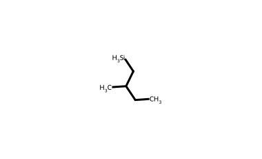 CCC(C)C[SiH3]